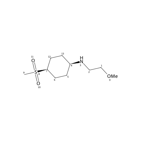 COCCN[C@H]1CC[C@@H](S(C)(=O)=O)CC1